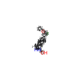 C=C(C)[C@@H]1CC[C@]2(NCC(C)(C)O)CC[C@]3(C)[C@H](CC[C@@H]4[C@@]5(C)CC=C(C6=CC[C@](CF)(C(=C)OCc7ccccc7)CC6)C(C)(C)[C@@H]5CC[C@]43C)[C@@H]12